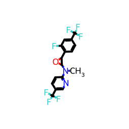 CN(c1ccc(C(F)(F)F)cn1)C1OC1c1ccc(C(F)(F)F)cc1F